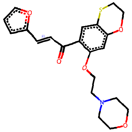 O=C(/C=C/c1ccco1)c1cc2c(cc1OCCN1CCOCC1)OCCS2